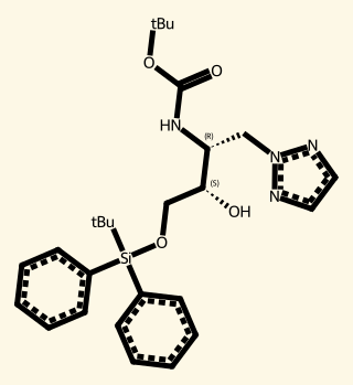 CC(C)(C)OC(=O)N[C@H](Cn1nccn1)[C@H](O)CO[Si](c1ccccc1)(c1ccccc1)C(C)(C)C